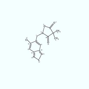 CC1(C)C(=O)ON(Cc2cc3nsnc3cc2Cl)C1=O